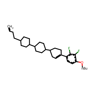 C=CCCC1CCC(C2CCC(C3CC=C(c4ccc(OCCCC)c(F)c4F)CC3)CC2)CC1